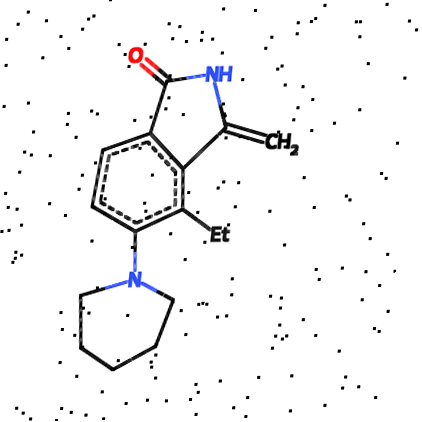 C=C1NC(=O)c2ccc(N3CCCCC3)c(CC)c21